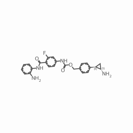 Nc1ccccc1NC(=O)c1ccc(NC(=O)OCc2ccc([C@H]3C[C@@H]3N)cc2)cc1F